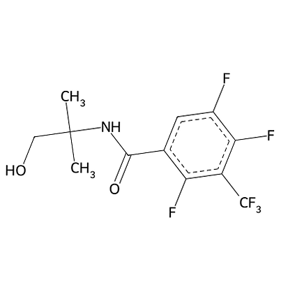 CC(C)(CO)NC(=O)c1cc(F)c(F)c(C(F)(F)F)c1F